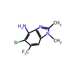 Cc1nc2c(N)c(Br)c(C(F)(F)F)cc2n1C